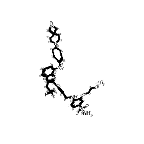 COCCOc1cc(S(N)(=O)=O)ccc1NCC#Cc1sc2c(NC3CCC(N4CCC5(CC4)COC5)CC3)cccc2c1CC(F)(F)F